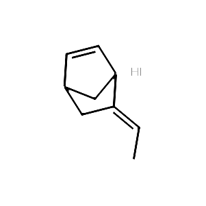 CC=C1CC2C=CC1C2.I